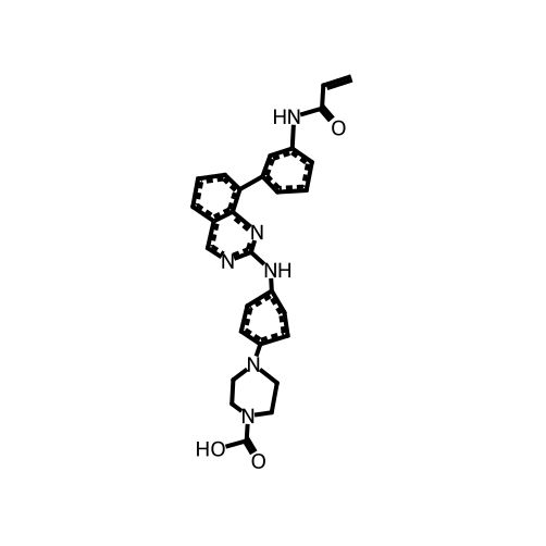 C=CC(=O)Nc1cccc(-c2cccc3cnc(Nc4ccc(N5CCN(C(=O)O)CC5)cc4)nc23)c1